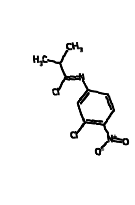 CC(C)/C(Cl)=N/c1ccc([N+](=O)[O-])c(Cl)c1